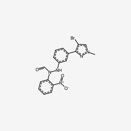 Cn1cc(Br)c(-c2cccc(NN(C=O)c3ccccc3[N+](=O)[O-])c2)n1